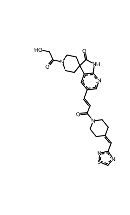 O=C(/C=C/c1cnc2c(c1)C1(CCN(C(=O)CO)CC1)C(=O)N2)N1CCC(=Cc2ncsn2)CC1